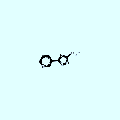 CCOC(=O)c1nc(-c2cccnc2)no1